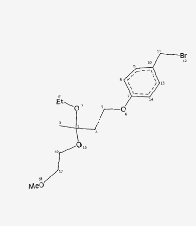 CCOC(C)(CCOc1ccc(CBr)cc1)OCCOC